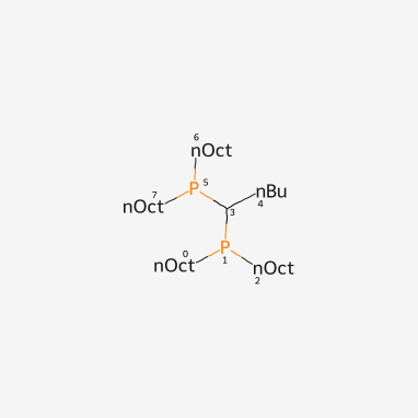 CCCCCCCCP(CCCCCCCC)C(CCCC)P(CCCCCCCC)CCCCCCCC